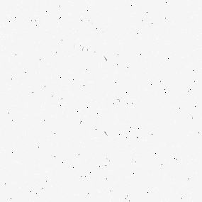 O=C1NC(=O)[C@H](CCSSCC[C@H]2NC(=O)NC2=O)N1